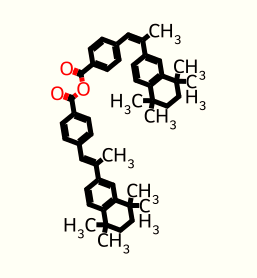 CC(=Cc1ccc(C(=O)OC(=O)c2ccc(C=C(C)c3ccc4c(c3)C(C)(C)CCC4(C)C)cc2)cc1)c1ccc2c(c1)C(C)(C)CCC2(C)C